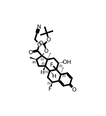 C[C@@H]1C[C@H]2[C@@H]3C[C@H](F)C4=CC(=O)C=C[C@]4(C)C3(F)[C@@H](O)C[C@]2(C)[C@]1(OC(=O)OC(C)(C)C)C(=O)OCC#N